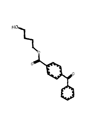 O=C(OCCCCO)c1ccc(C(=O)c2ccccc2)cc1